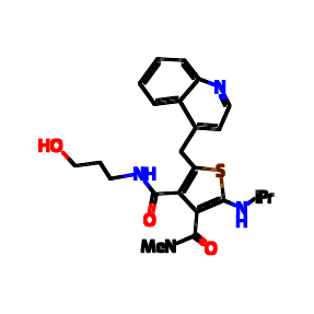 CNC(=O)c1c(NC(C)C)sc(Cc2ccnc3ccccc23)c1C(=O)NCCCO